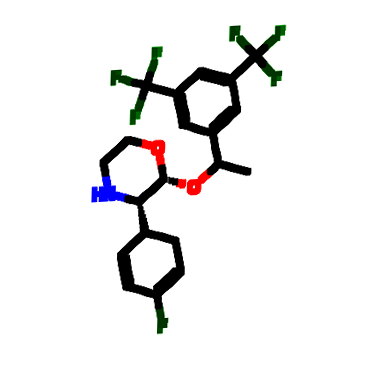 CC(O[C@H]1OCCN[C@H]1C1C=CC(F)=CC1)c1cc(C(F)(F)F)cc(C(F)(F)F)c1